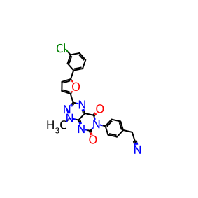 Cn1nc(-c2ccc(-c3cccc(Cl)c3)o2)nc2c(=O)n(-c3ccc(CC#N)cc3)c(=O)nc1-2